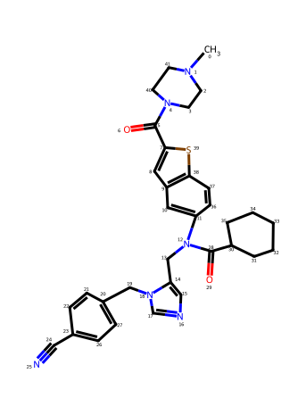 CN1CCN(C(=O)c2cc3cc(N(Cc4cncn4Cc4ccc(C#N)cc4)C(=O)C4CCCCC4)ccc3s2)CC1